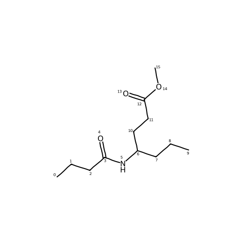 CCCC(=O)NC(CCC)CCC(=O)OC